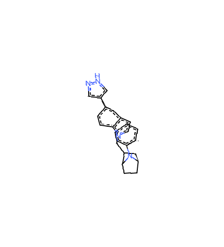 [c]1ccccc1N1C2CCC1C(Cn1ccc3cc(-c4cn[nH]c4)ccc31)C2